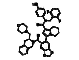 O=C(c1cc(-c2cc3c(cc2C(=O)N2Cc4ccccc4CC2CN2CCOCC2)OCO3)n2c1CCCC2)N(Cc1c(F)cccc1F)c1ccc(O)cc1